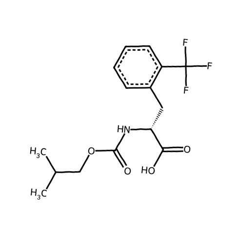 CC(C)COC(=O)N[C@H](Cc1ccccc1C(F)(F)F)C(=O)O